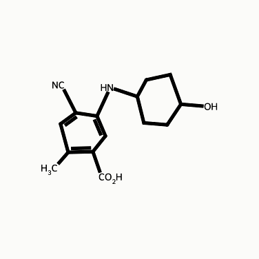 Cc1cc(C#N)c(NC2CCC(O)CC2)cc1C(=O)O